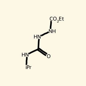 CCOC(=O)NNC(=O)NC(C)C